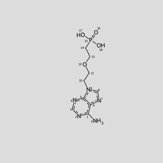 Nc1ncnc2c1ncn2CCOCCP(=O)(O)O